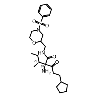 CC[C@H](C)[C@@](N)(C(=O)CCC1CCCC1)C(=O)NCC1CN(S(=O)(=O)c2ccccc2)CCO1